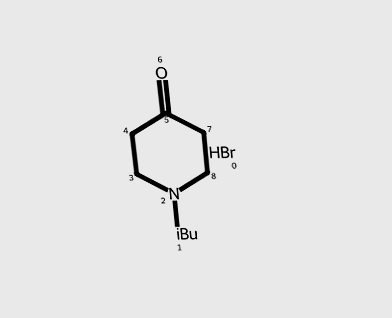 Br.CCC(C)N1CCC(=O)CC1